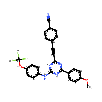 COc1ccc(-c2nc(C#Cc3ccc(C#N)cc3)nc(Nc3ccc(OC(F)(F)F)cc3)n2)cc1